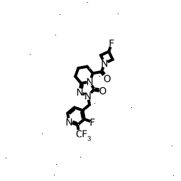 O=C(C1CCCc2nn(Cc3ccnc(C(F)(F)F)c3F)c(=O)n21)N1CC(F)C1